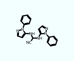 N#CC(Nc1ccnn1-c1ccccc1)Nc1ccnn1-c1ccccc1